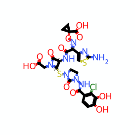 Nc1nc(/C(=N/OC2(C(=O)O)CC2)C(=O)N[C@@H]2C(=O)N(CC(=O)O)[C@@H]2SN2CCN(NC(=O)c3ccc(O)c(O)c3Cl)C2=O)cs1